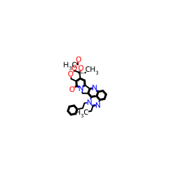 CCC1=Nc2cccc3nc4c(c(c23)N1CCc1ccccc1)Cn1c-4cc2c(c1=O)COC(=O)[C@@]2(CC)OC(C)=O